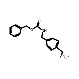 O=C(O)Cc1ccc(CNC(=O)OCc2ccccc2)cc1